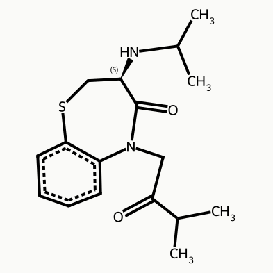 CC(C)N[C@@H]1CSc2ccccc2N(CC(=O)C(C)C)C1=O